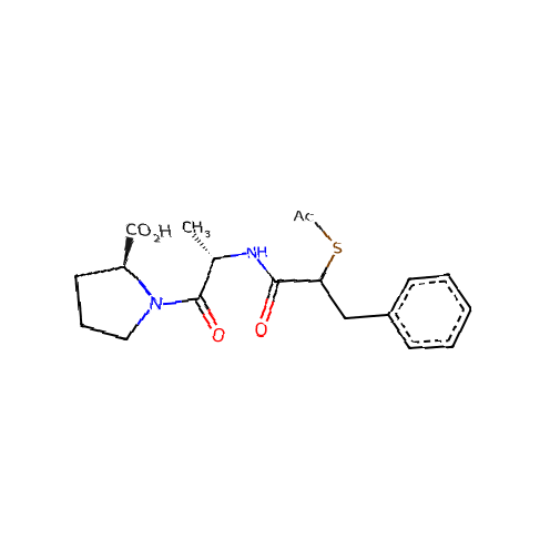 CC(=O)SC(Cc1ccccc1)C(=O)N[C@@H](C)C(=O)N1CCC[C@H]1C(=O)O